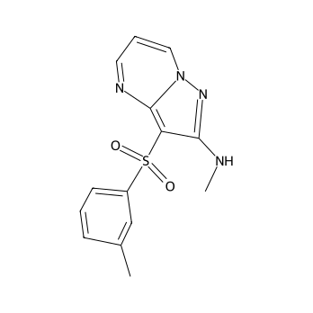 CNc1nn2cccnc2c1S(=O)(=O)c1cccc(C)c1